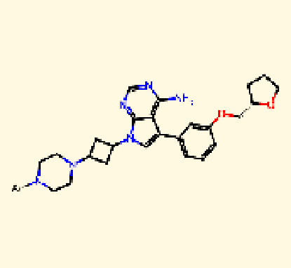 CC(=O)N1CCN(C2CC(n3cc(-c4cccc(OC[C@@H]5CCCO5)c4)c4c(N)ncnc43)C2)CC1